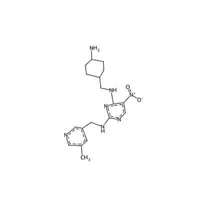 Cc1cncc(CNc2ncc([N+](=O)[O-])c(NCC3CCC(N)CC3)n2)c1